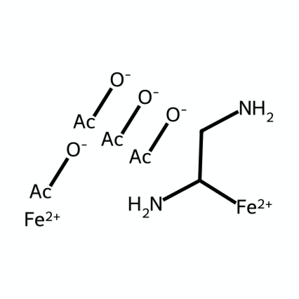 CC(=O)[O-].CC(=O)[O-].CC(=O)[O-].CC(=O)[O-].NC[CH](N)[Fe+2].[Fe+2]